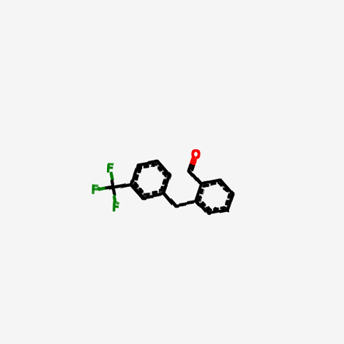 O=Cc1ccccc1Cc1cccc(C(F)(F)F)c1